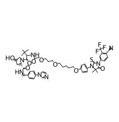 C[C@H](NC(=O)[C@@H]1C[C@@H](O)CN1C(=O)C(NC(=O)COCCCOCCCCCOc1ccc(N2C(=S)N(c3ccc(C#N)c(C(F)(F)F)c3)C(=O)C2(C)C)cc1)C(C)(C)C)c1ccc(-n2ccnc2)cc1